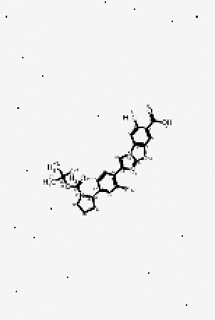 Cc1cc2c(cc1C(=O)O)sc1nc(-c3ccc([C@H]4CCCN4C(=O)OC(C)(C)C)cc3F)cn12